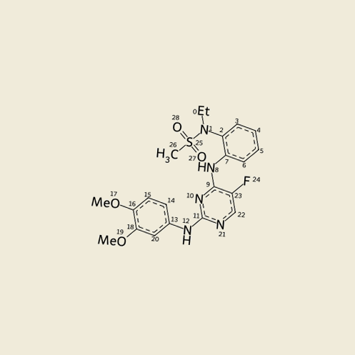 CCN(c1ccccc1Nc1nc(Nc2ccc(OC)c(OC)c2)ncc1F)S(C)(=O)=O